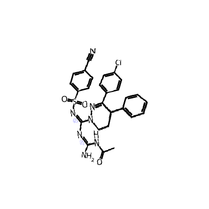 CC(=O)N/C(N)=N\C(=N\S(=O)(=O)c1ccc(C#N)cc1)N1CCC(c2ccccc2)C(c2ccc(Cl)cc2)=N1